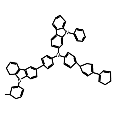 CC1C=C(n2c3c(c4cc(-c5ccc(N(c6ccc(C7C=CC(C8=CCCC=C8)=CC7)cc6)c6ccc7c8ccccc8n(-c8ccccc8)c7c6)cc5)ccc42)C=CCC3)C=CC1